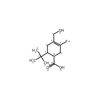 CC(C)(C)C1CC(CO)=C(F)CN1C(=O)O